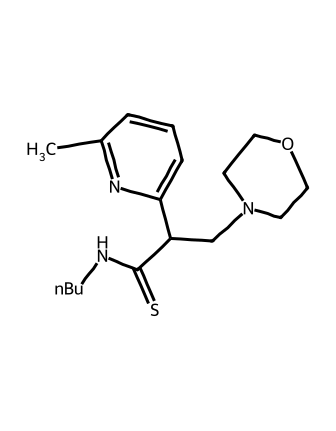 CCCCNC(=S)C(CN1CCOCC1)c1cccc(C)n1